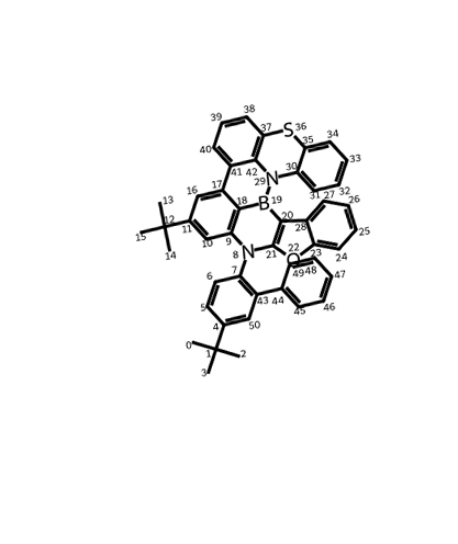 CC(C)(C)c1ccc(N2c3cc(C(C)(C)C)cc4c3B(c3c2oc2ccccc32)N2c3ccccc3Sc3cccc-4c32)c(-c2ccccc2)c1